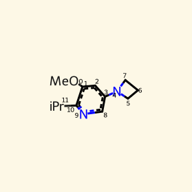 COc1cc(N2CCC2)cnc1C(C)C